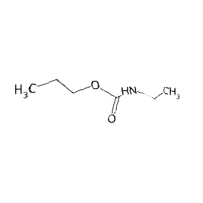 CCCOC(=O)NCC